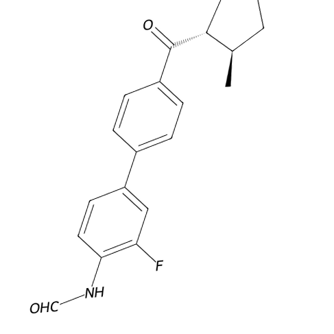 C[C@@H]1CCC[C@H]1C(=O)c1ccc(-c2ccc(NC=O)c(F)c2)cc1